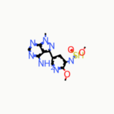 COc1ncc(-c2nn(C)c3ncnc(N)c23)cc1N=[SH](=O)OC